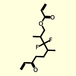 C=CC(=O)CCC(C)C(F)(F)C(C)COC(=O)C=C